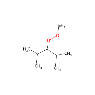 CC(C)C(OO[SiH3])C(C)C